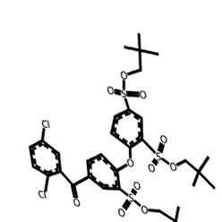 CC(C)(C)COS(=O)(=O)c1ccc(Oc2ccc(C(=O)c3cc(Cl)ccc3Cl)cc2S(=O)(=O)OCC(C)(C)C)c(S(=O)(=O)OCC(C)(C)C)c1